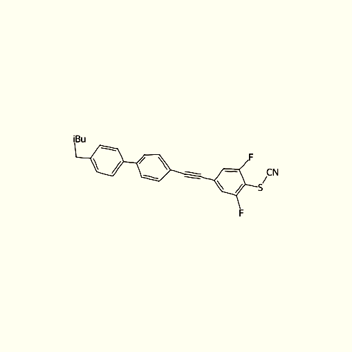 CCC(C)Cc1ccc(-c2ccc(C#Cc3cc(F)c(SC#N)c(F)c3)cc2)cc1